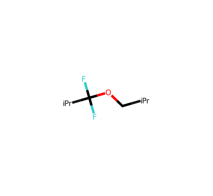 CC(C)COC(F)(F)C(C)C